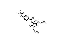 CCOC(=O)C(O)(CC(=O)c1ccc(OC(F)(F)F)cc1)C(=O)OCC